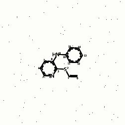 C=CSc1ncccc1Nc1ccccc1